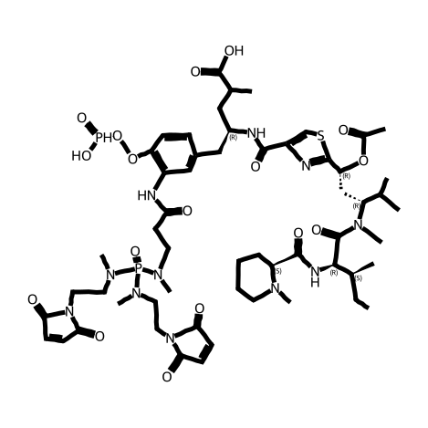 CC[C@H](C)[C@@H](NC(=O)[C@@H]1CCCCN1C)C(=O)N(C)[C@H](C[C@@H](OC(C)=O)c1nc(C(=O)N[C@@H](Cc2ccc(OO[PH](=O)O)c(NC(=O)CCN(C)P(=O)(N(C)CCN3C(=O)C=CC3=O)N(C)CCN3C(=O)C=CC3=O)c2)CC(C)C(=O)O)cs1)C(C)C